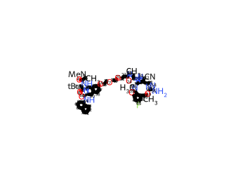 CN[C@H](C)C(=O)N[C@@H](C(=O)N1Cc2cc(OCCOCCOCCC(=O)N(C)CCn3nc(C#N)c4c3CN(C)C(=O)c3ccc(F)cc3[C@@H](C)Oc3nc-4cnc3N)ccc2C[C@@H]1C(=O)N[C@H]1CCCc2ccccc21)C(C)(C)C